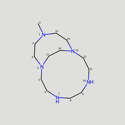 CN1CCN2CCNCCNCCN(CC1)CC2